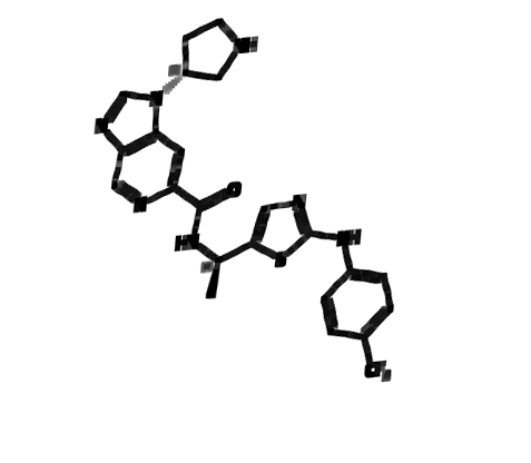 C[C@@H](NC(=O)c1cc2c(cn1)ncn2[C@@H]1CCNC1)c1cnc(Nc2ccc(C(F)(F)F)cc2)s1